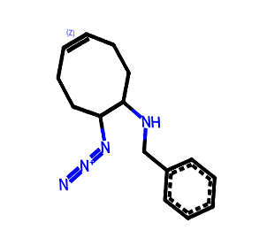 [N-]=[N+]=NC1CC/C=C\CCC1NCc1ccccc1